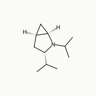 CC(C)[C@@H]1C[C@H]2C[C@H]2N1C(C)C